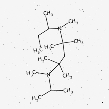 CCC(C)N(C)C(C)(C)CC(C)(C)N(C)C(C)C